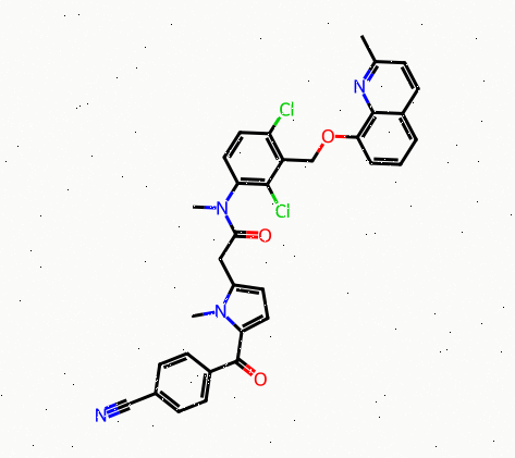 Cc1ccc2cccc(OCc3c(Cl)ccc(N(C)C(=O)Cc4ccc(C(=O)c5ccc(C#N)cc5)n4C)c3Cl)c2n1